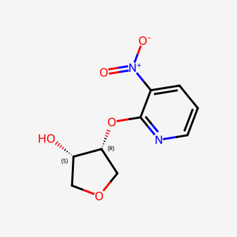 O=[N+]([O-])c1cccnc1O[C@@H]1COC[C@@H]1O